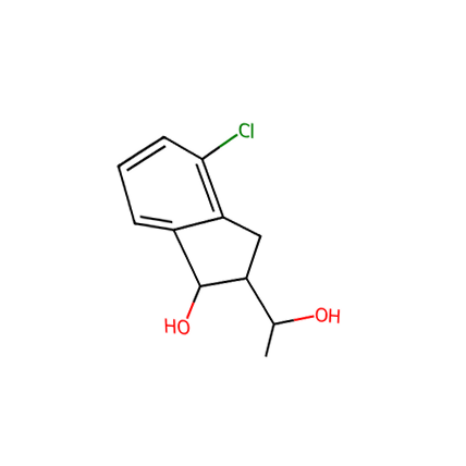 CC(O)C1Cc2c(Cl)cccc2C1O